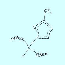 CCCCCCC(C)(CCCCCC)c1ccc(C(F)(F)F)s1